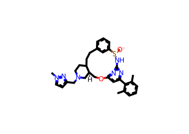 Cc1cccc(C)c1-c1cc2nc(n1)N[S+]([O-])c1cccc(c1)CCC1CCN(Cc3ccn(C)n3)C[C@@H]1CO2